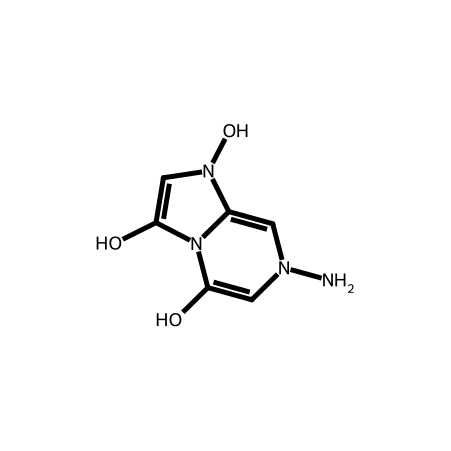 NN1C=C(O)N2C(O)=CN(O)C2=C1